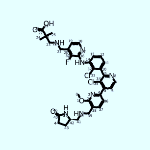 COc1nc(-c2ccnc(-c3cccc(Nc4nccc(CNCC(C)(C)C(=O)O)c4F)c3Cl)c2Cl)ccc1CNC[C@H]1CCC(=O)N1